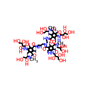 CN(CC(O)CO)C(=O)c1c(I)c(NC(=O)C(O)C(O)CO)c(I)c(C(=O)NCCCN(CCNC(=O)c2c(I)c(NC(=O)C(O)C(O)CO)c(I)c(C(=O)N(C)CC(O)CO)c2I)C(=O)c2c(I)c(NC(=O)C(O)C(O)CO)c(I)c(C(=O)N(C)CC(O)CO)c2I)c1I